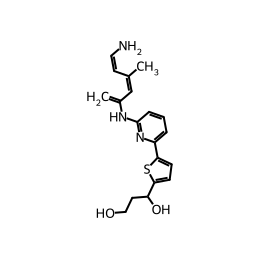 C=C(/C=C(C)\C=C/N)Nc1cccc(-c2ccc(C(O)CCO)s2)n1